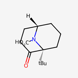 CC(C)(C)[C@]12CCC[C@@H](CCC1=O)N2C(=O)O